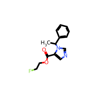 CC(c1ccccc1)n1cncc1C(=O)OCCF